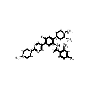 C[C@@H]1CN(c2cc(F)c(-c3cnc(N4CCN(C)CC4)nc3)cc2NC(=O)c2ccc(F)cc2C(F)(F)F)CCN1C